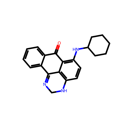 O=C1c2ccccc2C2=NCNc3ccc(NC4CCCCC4)c1c32